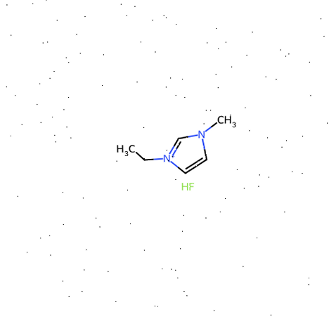 CC[n+]1ccn(C)c1.F